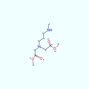 CNCCCN(CC(=O)OC)CC(=O)OC